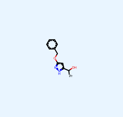 CC(C)C(O)c1cc(OCc2ccccc2)n[nH]1